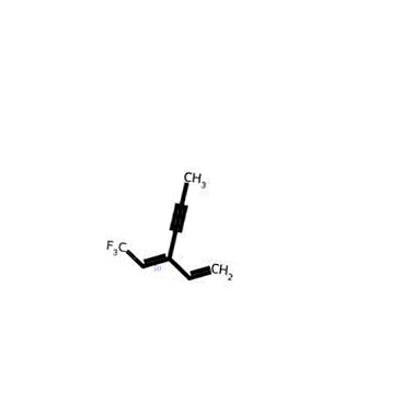 C=C/C(C#CC)=C/C(F)(F)F